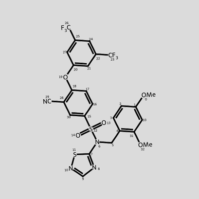 COc1ccc(CN(c2ncns2)S(=O)(=O)c2ccc(Oc3cc(C(F)(F)F)cc(C(F)(F)F)c3)c(C#N)c2)c(OC)c1